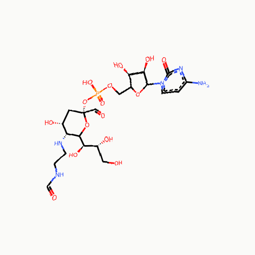 Nc1ccn(C2OC(COP(=O)(O)O[C@@]3(C=O)C[C@@H](O)[C@@H](NCCNC=O)C([C@H](O)[C@H](O)CO)O3)[C@@H](O)[C@H]2O)c(=O)n1